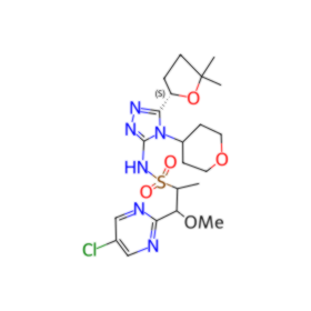 COC(c1ncc(Cl)cn1)C(C)S(=O)(=O)Nc1nnc([C@@H]2CCC(C)(C)O2)n1C1CCOCC1